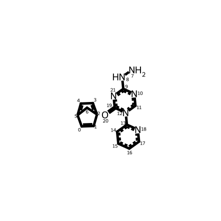 C1=CC2=CC=C1C2.NNc1ncn(-c2ccccn2)c(=O)n1